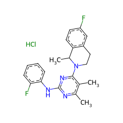 Cc1nc(Nc2ccccc2F)nc(N2CCc3cc(F)ccc3C2C)c1C.Cl